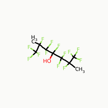 CC(F)(C(F)(F)F)C(F)(F)C(O)(F)C(F)(F)C(C)(F)C(F)(F)F